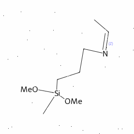 C/C=N\CCC[Si](C)(OC)OC